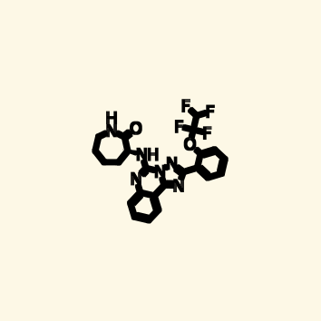 O=C1NCCCC[C@@H]1Nc1nc2ccccc2c2nc(-c3ccccc3OC(F)(F)C(F)F)nn12